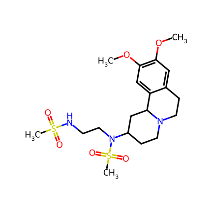 COc1cc2c(cc1OC)C1CC(N(CCNS(C)(=O)=O)S(C)(=O)=O)CCN1CC2